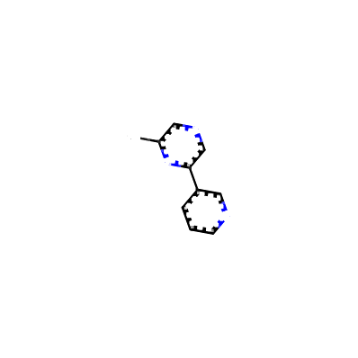 N#Cc1cncc(-c2cccnc2)n1